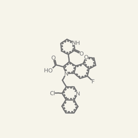 O=C(O)c1c(-c2ccc[nH]c2=O)c2c3occc3c(F)cc2n1Cc1cnc2ccccc2c1Cl